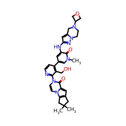 Cn1cc(-c2ccnc(-n3ccn4c5c(cc4c3=O)CC(C)(C)C5)c2CO)cc(Nc2cc3n(n2)CCN(C2COC2)C3)c1=O